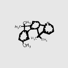 Cc1ccc2c(c1)-c1c(ccc3c1C(C)(C)c1cccnc1-3)C2(C)C